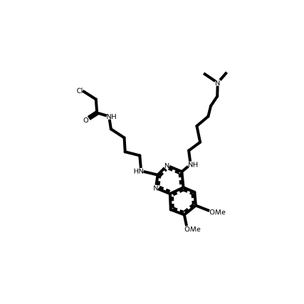 COc1cc2nc(NCCCCNC(=O)CCl)nc(NCCCCCCN(C)C)c2cc1OC